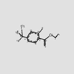 C=C(OCC)c1ccc(C(F)(F)F)cc1C